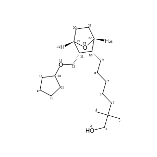 CC(C)(CO)CCCCC[C@@H]1[C@H](COC2CCCC2)[C@@H]2CC[C@H]1O2